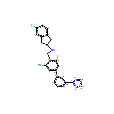 Fc1ccc2c(c1)CC(NCc1c(F)cc(-c3cccc(-c4nc[nH]n4)c3)cc1F)C2